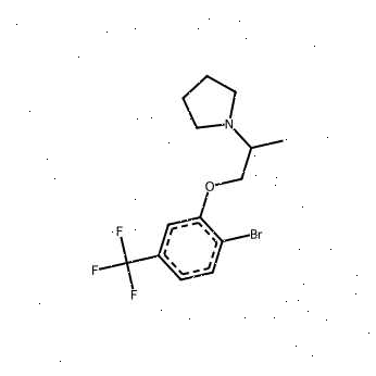 CC(COc1cc(C(F)(F)F)ccc1Br)N1CCCC1